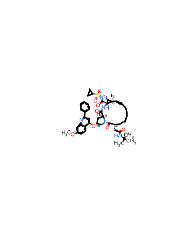 COc1ccc2c(O[C@@H]3C[C@H]4C(=O)N[C@]5(C(=O)NS(=O)(=O)C6CC6)C[C@H]5C=CCCCCC[C@H](CC(=O)NC(C)(C)C)C(=O)N4C3)cc(-c3ccccc3)nc2c1